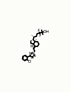 C[C@H](CCC(F)(F)C(C)(C)O)[C@H]1CC[C@H]2/C(=C/Cn3nnc(-c4ccccc4Cl)n3)CCC[C@]12C